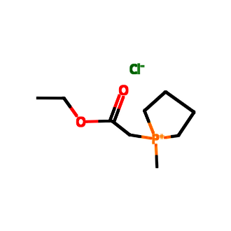 CCOC(=O)C[P+]1(C)CCCC1.[Cl-]